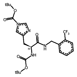 CC(C)(C)OC(=O)N[C@@H](Cc1cn(C(=O)OC(C)(C)C)cn1)C(=O)NCc1ccccc1C(F)(F)F